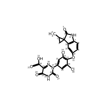 CC1CC12C(=O)Nc1ccc(Oc3c(Cl)cc(-n4nc(C(=O)O)c(=O)[nH]c4=O)cc3Cl)cc12